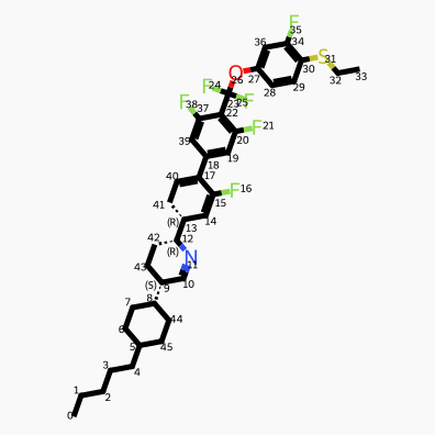 CCCCCC1CCC([C@H]2C=N[C@@H]([C@H]3C=C(F)C(c4cc(F)c(C(F)(F)Oc5ccc(SCC)c(F)c5)c(F)c4)=CC3)CC2)CC1